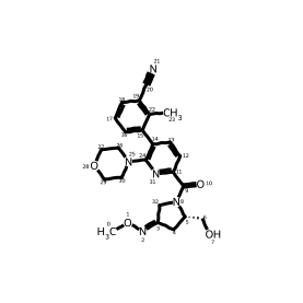 CO/N=C1/C[C@@H](CO)N(C(=O)c2ccc(-c3cccc(C#N)c3C)c(N3CCOCC3)n2)C1